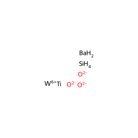 [BaH2].[O-2].[O-2].[O-2].[SiH4].[Ti].[W+6]